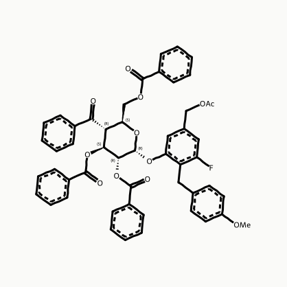 COc1ccc(Cc2c(F)cc(COC(C)=O)cc2O[C@H]2O[C@H](COC(=O)c3ccccc3)[C@@H](C(=O)c3ccccc3)[C@H](OC(=O)c3ccccc3)[C@H]2OC(=O)c2ccccc2)cc1